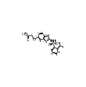 CC(C)c1ccccc1S(=O)(=O)NC1Cc2ccc(OCC(=O)O)cc2C1